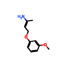 COc1cccc(OC/C=C(\C)N)c1